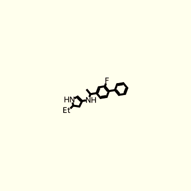 CCC1CC(NC(C)c2ccc(-c3ccccc3)c(F)c2)=CN1